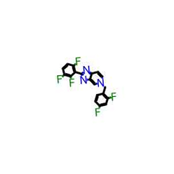 Fc1ccc(Cn2ccc3nc(-c4c(F)ccc(F)c4F)nc-3c2)c(F)c1